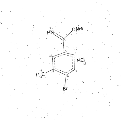 COC(=N)c1ccc(Br)c(C)c1.Cl